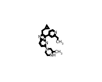 CCc1cc(-c2c(CC3CC3)nc3ccc(N4CCNC(C)C4)nn23)ccn1